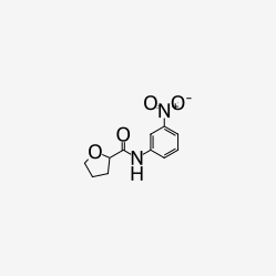 O=C(Nc1cccc([N+](=O)[O-])c1)C1CCCO1